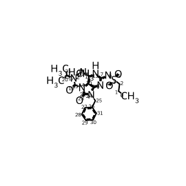 CCCS(=O)(=O)N=c1nc2c(c(N)[nH]1)n(C(=O)N(C)C(C)C)c(=O)n2Cc1ccccc1